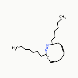 CCCCCCCC1CC=CCCC=CCC(CCCCCCC)N=N1